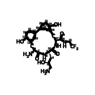 NC[C@H](O)C[C@@H]1NC(=O)[C@@H](N)Cc2cc(ccc2O)-c2ccc(O)c(c2)C[C@@H](C(=O)NCC(F)(F)F)NC1=O